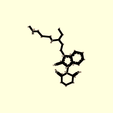 CCC(CCn1c(=O)n(N2C(=O)CCCC2=O)c2ccccc21)OCCCNC